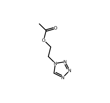 CC(=O)OCCn1cnnn1